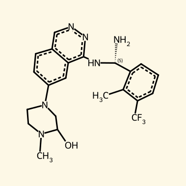 Cc1c([C@@H](N)Nc2nncc3ccc(N4CCN(C)C(O)C4)cc23)cccc1C(F)(F)F